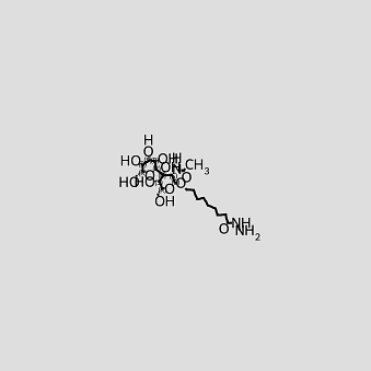 CC(=O)N[C@@H]1[C@@H](OCCCCCCCCC(=O)NN)O[C@H](CO)[C@H](O)[C@@]1(O)[C@@H]1O[C@H](CO)[C@H](O)[C@H](O)[C@H]1O